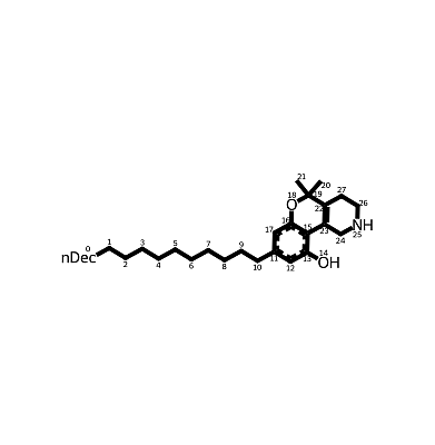 CCCCCCCCCCCCCCCCCCCCc1cc(O)c2c(c1)OC(C)(C)C1=C2CNCC1